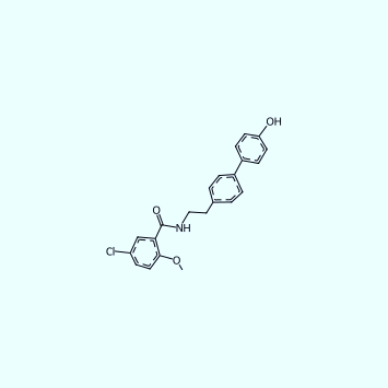 COc1ccc(Cl)cc1C(=O)NCCc1ccc(-c2ccc(O)cc2)cc1